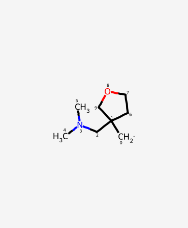 [CH2]C1(CN(C)C)CCOC1